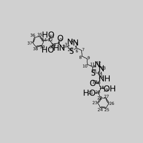 O=C(Nc1nnc(CCCCc2nnc(NC(=O)[C@@H](O)[C@H](O)c3ccccc3)s2)s1)[C@@H](O)[C@H](O)c1ccccc1